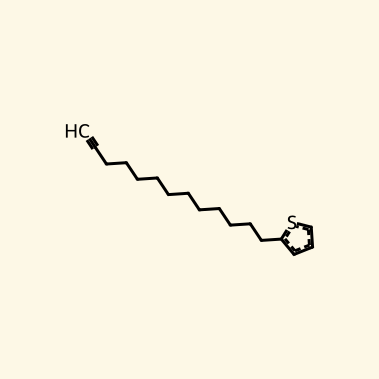 C#CCCCCCCCCCCCc1cccs1